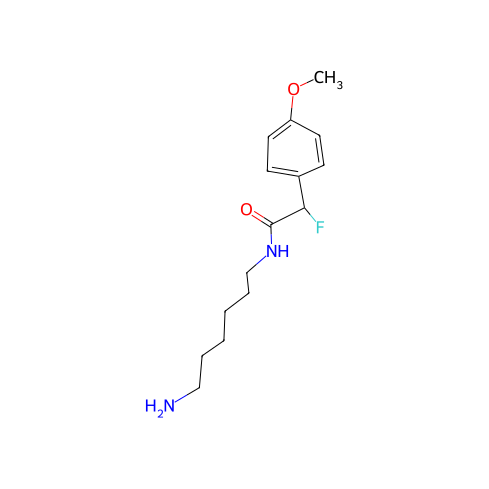 COc1ccc(C(F)C(=O)NCCCCCCN)cc1